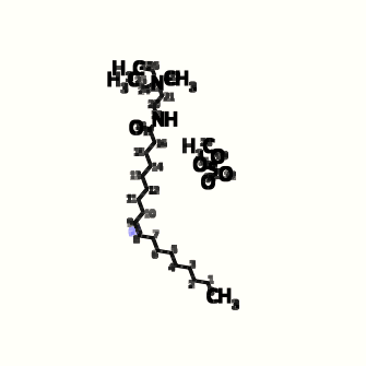 CCCCCCCC/C=C\CCCCCCCC(=O)NCC[N+](C)(CC)CC.COS(=O)(=O)[O-]